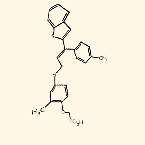 Cc1cc(SCC=C(c2ccc(C(F)(F)F)cc2)c2cc3ccccc3s2)ccc1OCC(=O)O